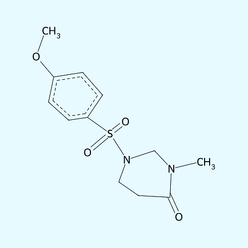 COc1ccc(S(=O)(=O)N2CCC(=O)N(C)C2)cc1